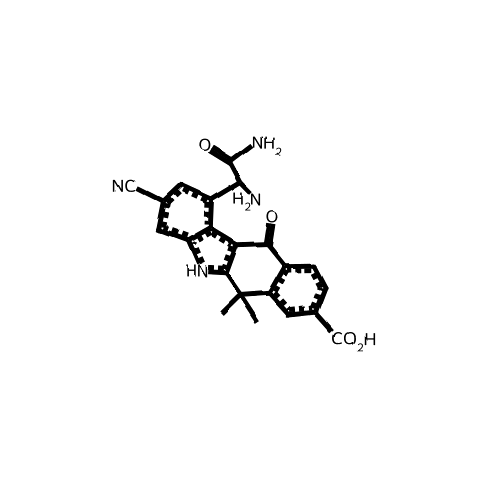 CC1(C)c2cc(C(=O)O)ccc2C(=O)c2c1[nH]c1cc(C#N)cc(C(N)C(N)=O)c21